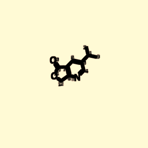 CC(C)c1cnc2c(c1)C(=O)OC2